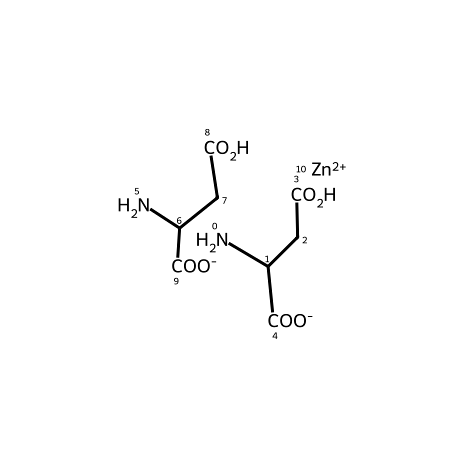 NC(CC(=O)O)C(=O)[O-].NC(CC(=O)O)C(=O)[O-].[Zn+2]